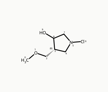 COC[C@H]1CN(Cl)CC1O